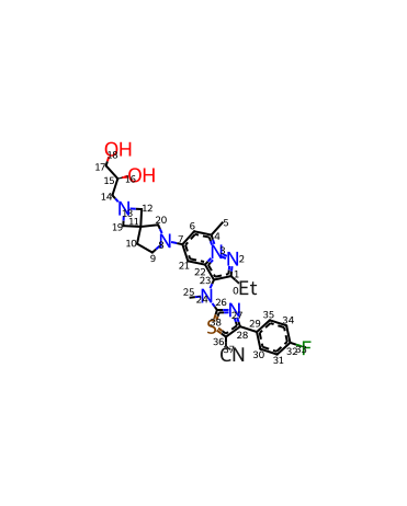 CCc1nn2c(C)cc(N3CCC4(CN(C[C@H](O)CO)C4)C3)cc2c1N(C)c1nc(-c2ccc(F)cc2)c(C#N)s1